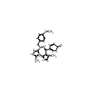 COc1ccc(CN2N=C(C3=CCC(Cl)C=C3)c3c(C)csc3-n3c(C)nnc32)cc1